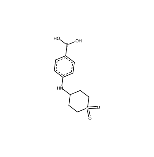 O=S1(=O)CCC(Nc2ccc(B(O)O)cc2)CC1